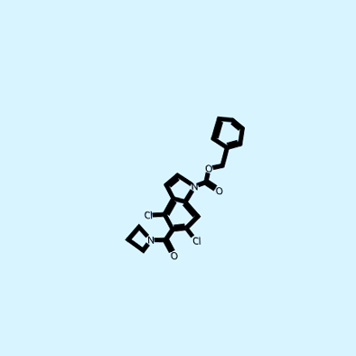 O=C(c1c(Cl)cc2c(ccn2C(=O)OCc2ccccc2)c1Cl)N1CCC1